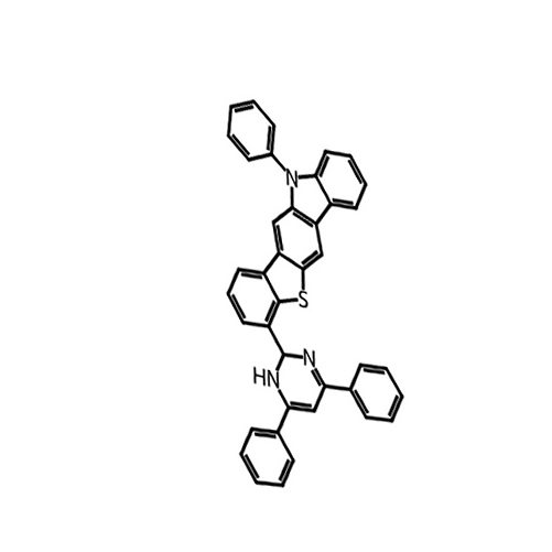 C1=C(c2ccccc2)NC(c2cccc3c2sc2cc4c5ccccc5n(-c5ccccc5)c4cc23)N=C1c1ccccc1